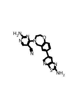 N#Cc1cnc(N)nc1N1CCOc2ccc(-c3cnc4sc(N)nc4c3)cc2C1